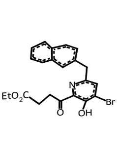 CCOC(=O)CCC(=O)c1nc(Cc2ccc3ccccc3c2)cc(Br)c1O